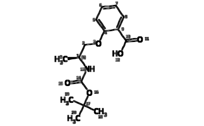 C[C@@H](COc1ccccc1C(=O)O)NC(=O)OC(C)(C)C